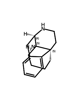 N[C@@]12CCCC[C@@]13CCN[C@@H]2Cc1ccccc13